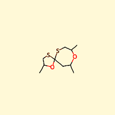 CC1CSC2(CC(C)O1)OC(C)CS2